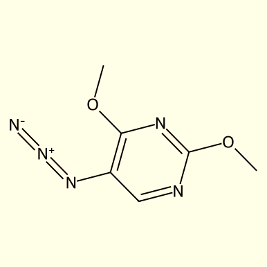 COc1ncc(N=[N+]=[N-])c(OC)n1